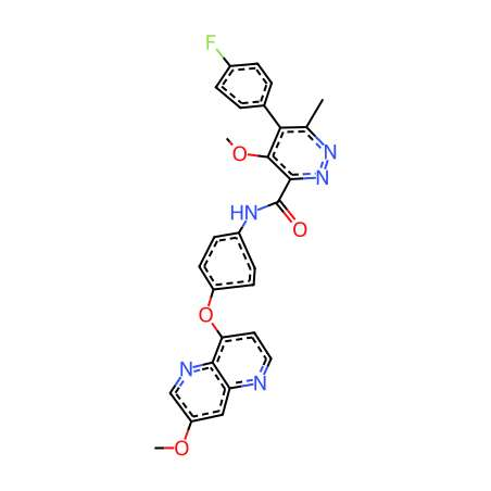 COc1cnc2c(Oc3ccc(NC(=O)c4nnc(C)c(-c5ccc(F)cc5)c4OC)cc3)ccnc2c1